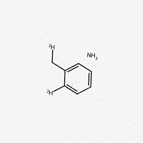 N.[2H]Cc1ccccc1[2H]